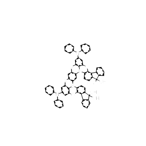 CC1(C)c2ccccc2-c2c1ccc1c2Oc2cc(N(c3ccccc3)c3ccccc3)cc3c2B1c1cc2c(cc1S3)Sc1cc(N(c3ccccc3)c3ccccc3)cc3c1B2c1ccc2c(c1O3)-c1ccccc1C2(C)C